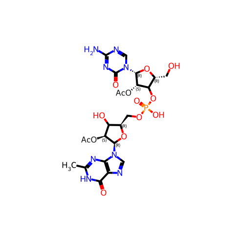 CC(=O)O[C@H]1C(OP(=O)(O)OC[C@H]2O[C@@H](n3cnc4c(=O)[nH]c(C)nc43)[C@@H](OC(C)=O)C2O)[C@@H](CO)O[C@H]1n1cnc(N)nc1=O